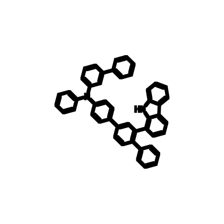 c1ccc(-c2cccc(N(c3ccccc3)c3ccc(-c4ccc(-c5ccccc5)c(-c5cccc6c5[nH]c5ccccc56)c4)cc3)c2)cc1